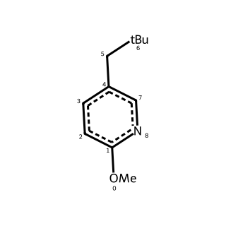 COc1ccc(CC(C)(C)C)cn1